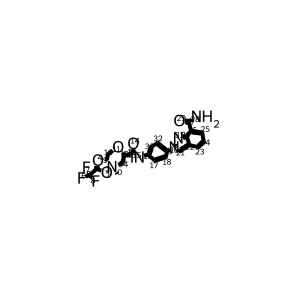 C[N+]1(OC(=O)C(F)(F)F)CCOC(C(=O)Nc2ccc(-n3cc4cccc(C(N)=O)c4n3)cc2)C1